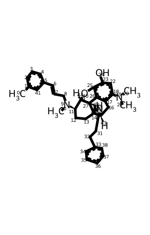 Cc1cccc(C=CCN(C)[C@@H]2CC[C@H]3[C@H]4Cc5c(N(C)C)cc(O)c6c5[C@@]3(CCN4CCc3ccccc3)[C@H]2O6)c1